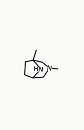 CN1CC2CCC(C)(C1)N2